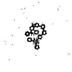 c1ccc(-c2nc(-c3ccccc3)nc(-c3ccc(-c4cccc(-c5cccc(-c6ccc7sc8ccc9c(-c%10ccccc%10)nc%10ccccc%10c9c8c7c6)c5)c4)cc3)n2)cc1